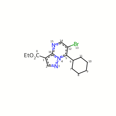 CCOC(=O)c1cnn2c(C3CCCCC3)c(Br)cnc12